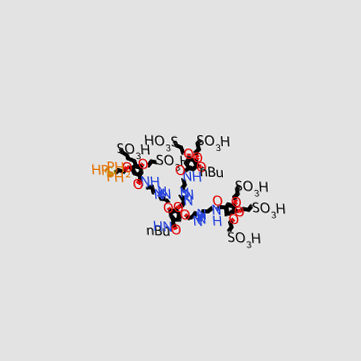 CCCCNC(=O)c1cc(OCc2cn(CCCNC(=O)c3cc(OCCCS(=O)(=O)O)c(CCCCS(=O)(=O)O)c(OCCCS(=P)(=P)P)c3)nn2)c(OCc2cn(CCCNC(=O)c3cc(OCCCC)c(OCCCS(=O)(=O)O)c(OCCCS(=O)(=O)O)c3)nn2)c(OCc2cn(CCCNC(=O)c3cc(OCCCS(=O)(=O)O)c(OCCCS(=O)(=O)O)c(OCCCS(=O)(=O)O)c3)nn2)c1